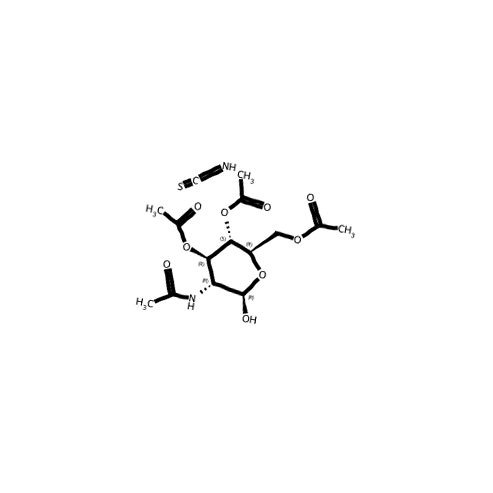 CC(=O)N[C@@H]1[C@@H](OC(C)=O)[C@H](OC(C)=O)[C@@H](COC(C)=O)O[C@H]1O.N=C=S